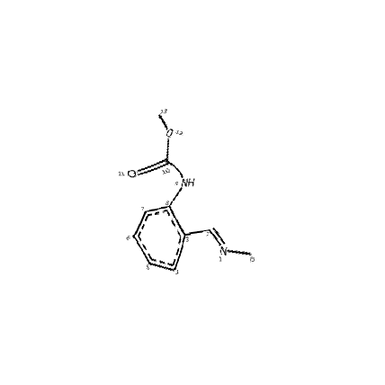 CN=Cc1ccccc1NC(=O)OC